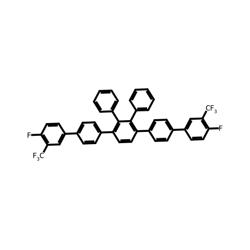 Fc1ccc(-c2ccc(-c3ccc(-c4ccc(-c5ccc(F)c(C(F)(F)F)c5)cc4)c(-c4ccccc4)c3-c3ccccc3)cc2)cc1C(F)(F)F